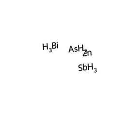 [AsH3].[BiH3].[SbH3].[Zn]